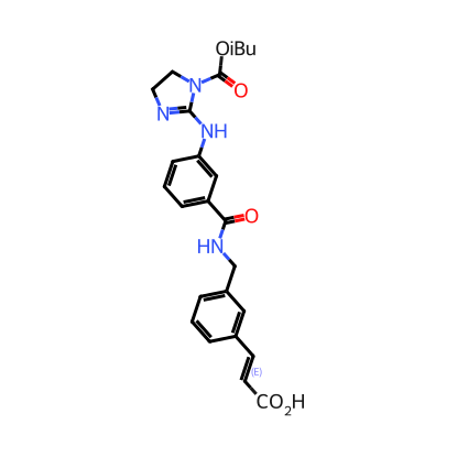 CC(C)COC(=O)N1CCN=C1Nc1cccc(C(=O)NCc2cccc(/C=C/C(=O)O)c2)c1